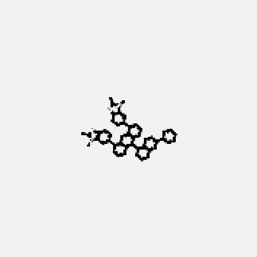 Cc1nc2ccc(-c3cccc4c(-c5cccc6cc(-c7ccccc7)ccc56)c5cccc(-c6ccc7nc(C)n(C)c7c6)c5cc34)cc2n1C